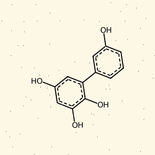 Oc1cccc(-c2cc(O)cc(O)c2O)c1